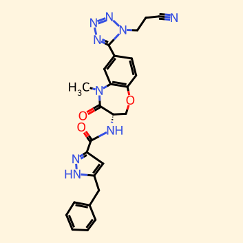 CN1C(=O)[C@@H](NC(=O)c2cc(Cc3ccccc3)[nH]n2)COc2ccc(-c3nnnn3CCC#N)cc21